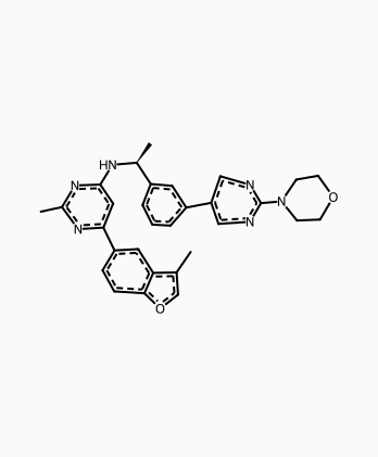 Cc1nc(N[C@@H](C)c2cccc(-c3cnc(N4CCOCC4)nc3)c2)cc(-c2ccc3occ(C)c3c2)n1